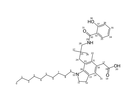 CCCCCCCCCCN1CCc2c(C)c(CC(=O)O)c(C)c(CC(C)(C)CNC(=O)c3ccccc3O)c21